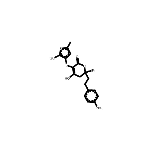 Cc1cc(SC2=C(O)CC(CCc3ccc(N)cc3)(C(C)C)OC2=O)c(C(C)(C)C)s1